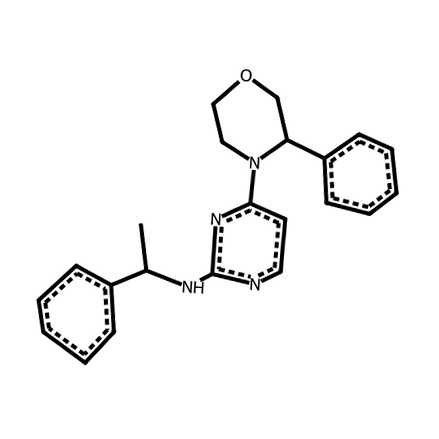 CC(Nc1nccc(N2CCOCC2c2ccccc2)n1)c1ccccc1